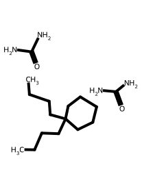 CCCCC1(CCCC)CCCCC1.NC(N)=O.NC(N)=O